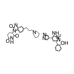 Cn1c(=O)n(C2CCC(=O)NC2=O)c2ccc(CCCN3CCC[C@@H](Cn4cc(-c5cc(-c6ccccc6O)nnc5N)cn4)C3)cc21